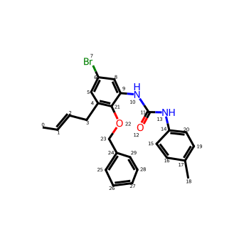 C/C=C/Cc1cc(Br)cc(NC(=O)Nc2ccc(C)cc2)c1OCc1ccccc1